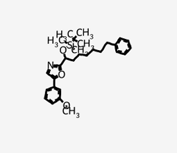 COc1cccc(-c2cnc(C(CCCCCCc3ccccc3)O[Si](C)(C)C(C)(C)C)o2)c1